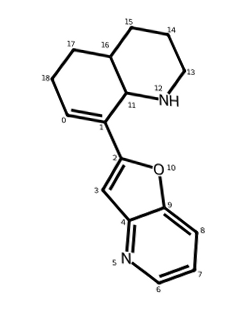 C1=C(c2cc3ncccc3o2)C2NCCCC2CC1